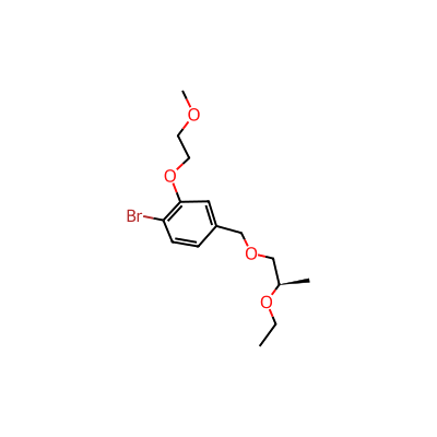 CCO[C@H](C)COCc1ccc(Br)c(OCCOC)c1